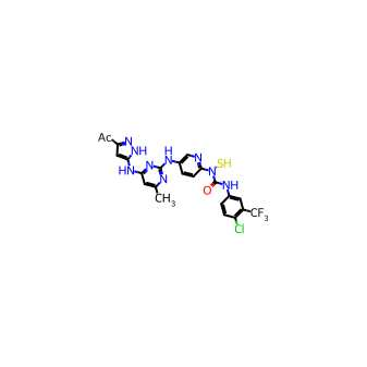 CC(=O)c1cc(Nc2cc(C)nc(Nc3ccc(N(S)C(=O)Nc4ccc(Cl)c(C(F)(F)F)c4)nc3)n2)[nH]n1